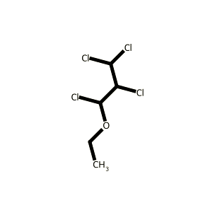 CCOC(Cl)C(Cl)C(Cl)Cl